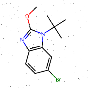 COc1nc2ccc(Br)cc2n1C(C)(C)C